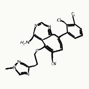 Cn1cnc(COc2c(C#N)cc(-c3cccc(Cl)c3Cl)c3ncnc(N)c23)n1